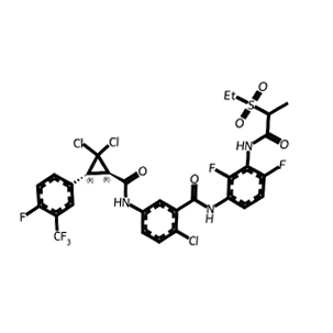 CCS(=O)(=O)C(C)C(=O)Nc1c(F)ccc(NC(=O)c2cc(NC(=O)[C@H]3[C@H](c4ccc(F)c(C(F)(F)F)c4)C3(Cl)Cl)ccc2Cl)c1F